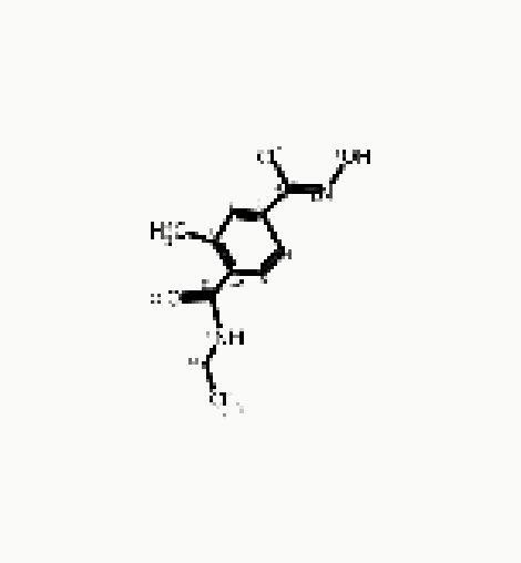 Cc1cc(C(Cl)=NO)ccc1C(=O)NCC(F)(F)F